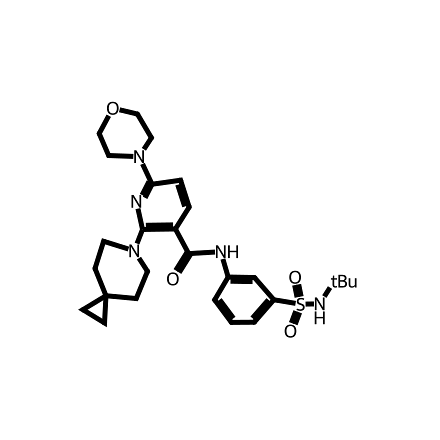 CC(C)(C)NS(=O)(=O)c1cccc(NC(=O)c2ccc(N3CCOCC3)nc2N2CCC3(CC2)CC3)c1